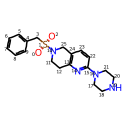 O=S(=O)(Cc1ccccc1)N1CCc2nc(N3CCNCC3)ccc2C1